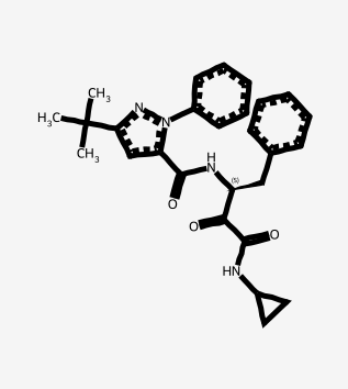 CC(C)(C)c1cc(C(=O)N[C@@H](Cc2ccccc2)C(=O)C(=O)NC2CC2)n(-c2ccccc2)n1